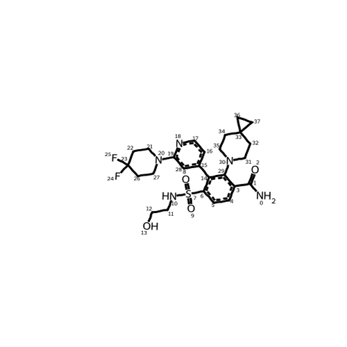 NC(=O)c1ccc(S(=O)(=O)NCCO)c(-c2ccnc(N3CCC(F)(F)CC3)c2)c1N1CCC2(CC1)CC2